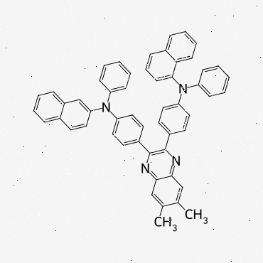 Cc1cc2nc(-c3ccc(N(c4ccccc4)c4ccc5ccccc5c4)cc3)c(-c3ccc(N(c4ccccc4)c4cccc5ccccc45)cc3)nc2cc1C